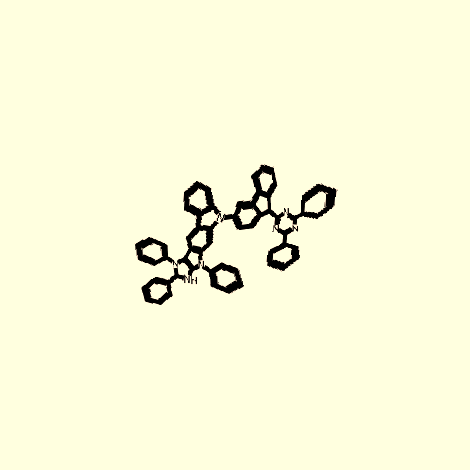 c1ccc(-c2nc(-c3ccccc3)nc(C3c4ccccc4-c4cc(-n5c6ccccc6c6cc7c8c(n(-c9ccccc9)c7cc65)NC(c5ccccc5)N8c5ccccc5)ccc43)n2)cc1